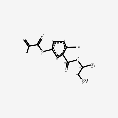 C=C(C)C(=O)Oc1ccc(I)c(C(=O)OC(CS(=O)(=O)O)C(F)(F)F)c1